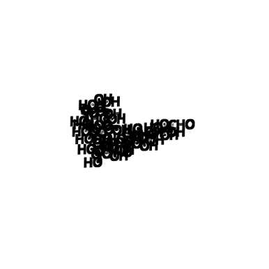 O=C[C@H](O)[C@@H](O)[C@H](O)[C@H](O)CO.OC[C@H]1O[C@@H](O[C@H]2[C@H](O)[C@@H](O)[C@H](O)O[C@@H]2CO)[C@H](O)[C@@H](O)[C@@H]1O.OC[C@H]1O[C@H](O[C@H]2O[C@H](CO)[C@@H](O)[C@H](O)[C@H]2O)[C@H](O)[C@@H](O)[C@@H]1O.OC[C@H]1O[C@H](O[C@H]2[C@H](O)[C@@H](O)[C@H](O)O[C@@H]2CO)[C@H](O)[C@@H](O)[C@@H]1O.OCc1ccccc1O[C@@H]1O[C@H](CO)[C@@H](O)[C@H](O)[C@H]1O